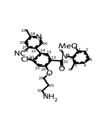 COc1cccc(C)c1N(C)C(=O)c1cc(-c2cnc(C)cc2C#N)c(Cl)cc1OCCCN